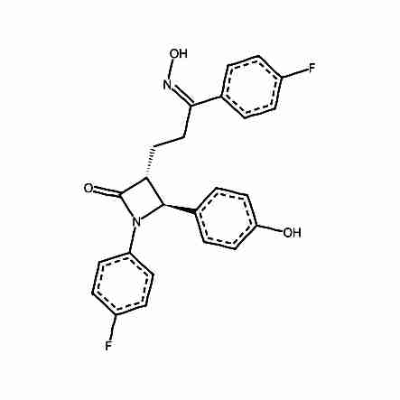 O=C1[C@H](CC/C(=N/O)c2ccc(F)cc2)[C@@H](c2ccc(O)cc2)N1c1ccc(F)cc1